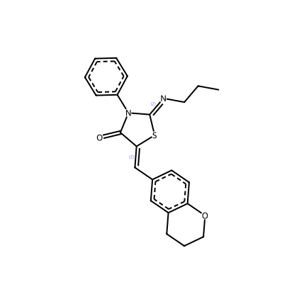 CCC/N=C1\S/C(=C\c2ccc3c(c2)CCCO3)C(=O)N1c1ccccc1